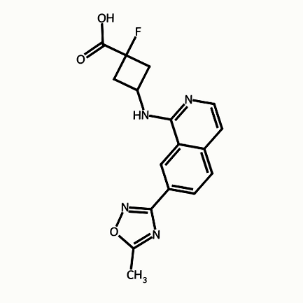 Cc1nc(-c2ccc3ccnc(NC4CC(F)(C(=O)O)C4)c3c2)no1